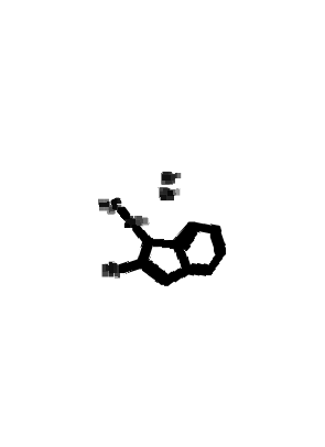 CCCC1=Cc2ccccc2[CH]1[Zr+2][CH3].[Br-].[Br-]